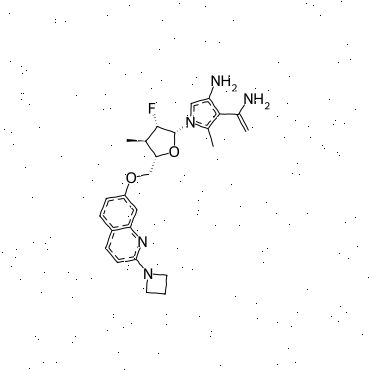 C=C(N)c1c(N)cn([C@@H]2O[C@H](COc3ccc4ccc(N5CCC5)nc4c3)[C@@H](C)[C@@H]2F)c1C